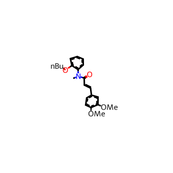 CCCCOc1ccccc1N(C)C(=O)/C=C/c1ccc(OC)c(OC)c1